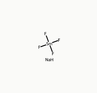 [F][Sm]([F])([F])[F].[NaH]